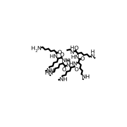 CCNC(=O)C(CCCCNC)NC(=O)C(CCCCNC)NC(=O)C(CCCCNC)NC(=O)C(CCCCNC)NC(=O)C(CCCCNC)NC(=O)CCCCCN